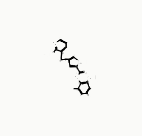 Nc1cc(Br)cc(F)c1NC(=O)c1cc(C(=O)c2cccnc2C(F)(F)F)c[nH]1